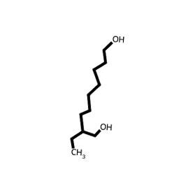 CCC(CO)CCCCCCCO